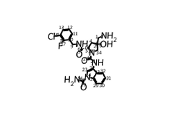 NC[C@@]1(O)C[C@@H](C(=O)NCc2cccc(Cl)c2F)N(C(=O)Nc2cn(C(N)=O)c3ccccc23)C1